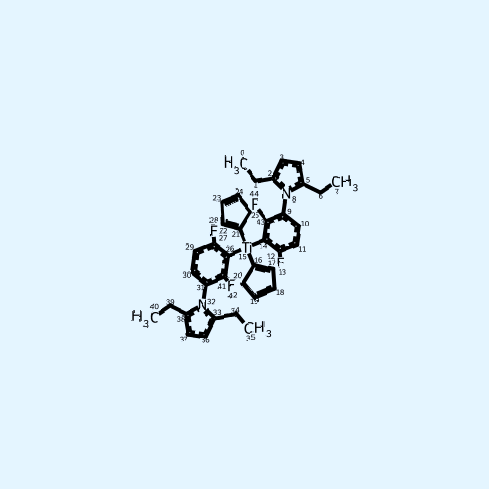 CCc1ccc(CC)n1-c1ccc(F)[c]([Ti]([C]2=CC=CC2)([C]2=CC=CC2)[c]2c(F)ccc(-n3c(CC)ccc3CC)c2F)c1F